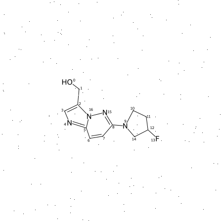 OCc1cnc2ccc(N3CCC(F)C3)nn12